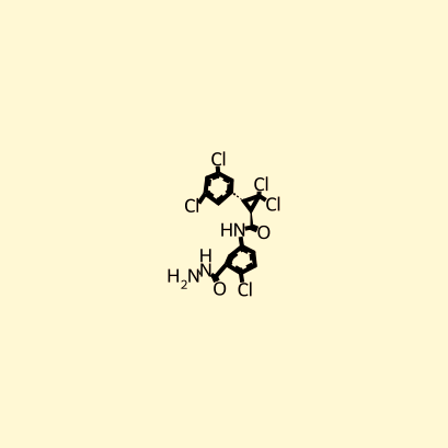 NNC(=O)c1cc(NC(=O)[C@H]2[C@H](c3cc(Cl)cc(Cl)c3)C2(Cl)Cl)ccc1Cl